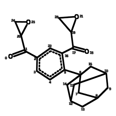 O=C(c1ccc(C23CC4CC(CC(C4)C2)C3)c(C(=O)C2CO2)c1)C1CO1